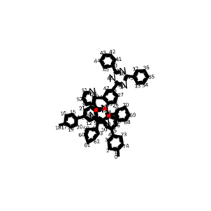 Cc1ccc(-c2ccc3c(c2)c2cc(-c4ccc(C)cc4)ccc2n3-c2ccc(-c3nc(-c4ccccc4)nc(-c4ccccc4)n3)cc2-c2ncccc2-c2nc(-c3ccccc3)nc(-c3ccccc3)n2)cc1